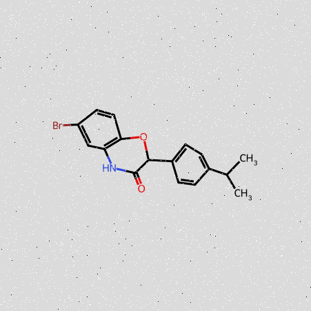 CC(C)c1ccc(C2Oc3ccc(Br)cc3NC2=O)cc1